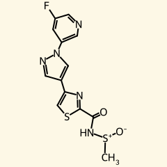 C[S+]([O-])NC(=O)c1nc(-c2cnn(-c3cncc(F)c3)c2)cs1